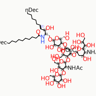 CCCCCCCCCCCCCCC/C=C/[C@H](O)[C@H](CO[C@@H]1O[C@H](CO)[C@@H](O[C@@H]2O[C@H](CO)[C@H](O[C@@H]3O[C@H](CO)[C@H](O)[C@H](O[C@@H]4O[C@H](CO)[C@H](O)[C@H](O)[C@H]4O)[C@H]3NC(C)=O)[C@H](O[C@]3(C(=O)O)C[C@H](O)[C@@H](NC(C)=O)[C@H]([C@H](O)[C@H](O)CO)O3)[C@H]2O)[C@H](O)[C@H]1O)NC(=O)CCCCCCCCCCCCCCCCCCC